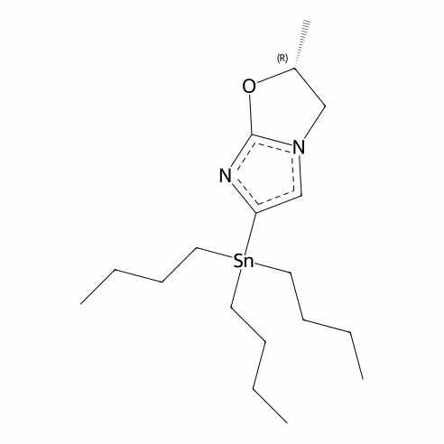 CCC[CH2][Sn]([CH2]CCC)([CH2]CCC)[c]1cn2c(n1)O[C@H](C)C2